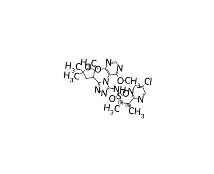 COc1ncnc(OC)c1-n1c(NS(=O)(=O)[C@@H](C)[C@H](C)c2ncc(Cl)cn2)nnc1C1COC(C)(C)C1